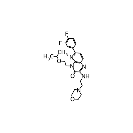 CC(C)OCCn1c(=O)c(NCCN2CCOCC2)nc2ccc(-c3ccc(F)c(F)c3)nc21